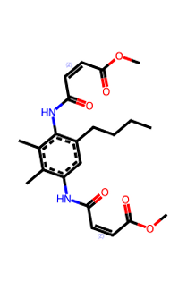 CCCCc1cc(NC(=O)/C=C\C(=O)OC)c(C)c(C)c1NC(=O)/C=C\C(=O)OC